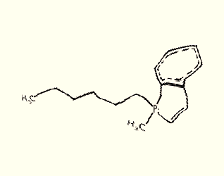 CCCCCC[P]1(C)C=Cc2ccccc21